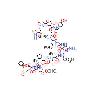 CSCC[C@H](CC(=O)[C@H](Cc1ccc(O)cc1)NC(=O)[C@@H](CC(=O)[C@H](C)NC(=O)[C@H](C)CC(=O)[C@@H]1CSCN1)C(C)O)C(=O)N[C@@H](CCSC)C(=O)NCC(=O)N[C@@H](CC(N)=O)C(=O)N[C@@H](CCC(=O)O)C(=O)N[C@@H](CC(C)C)C(=O)C[C@H](C(=O)N[C@@H](Cc1ccccc1)C(=O)C[C@@H](CC(C)C)C(=O)N[C@@H](COC=O)C(=O)C[C@@H](COC=O)C(=O)N[C@@H](CO)C(=O)CCC(=O)SCc1ccccc1)C(C)O